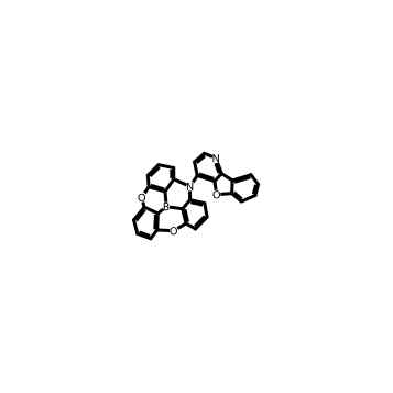 c1cc2c3c(c1)Oc1cccc4c1B3c1c(cccc1N4c1ccnc3c1oc1ccccc13)O2